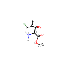 C=C(CCl)C(=O)C(C(=O)OC(C)(C)C)N(C)C